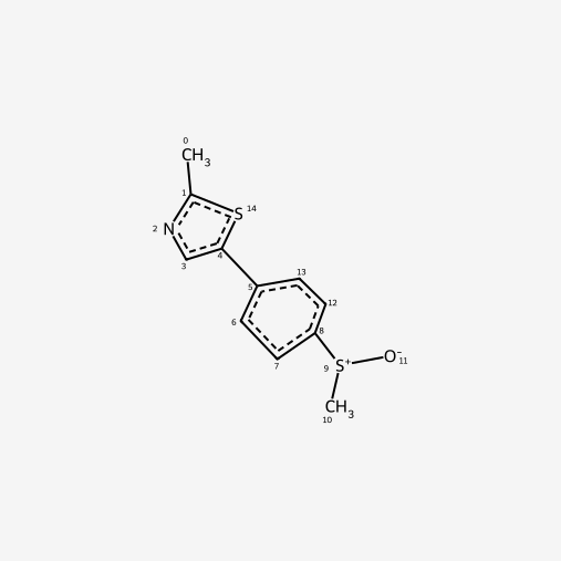 Cc1ncc(-c2ccc([S+](C)[O-])cc2)s1